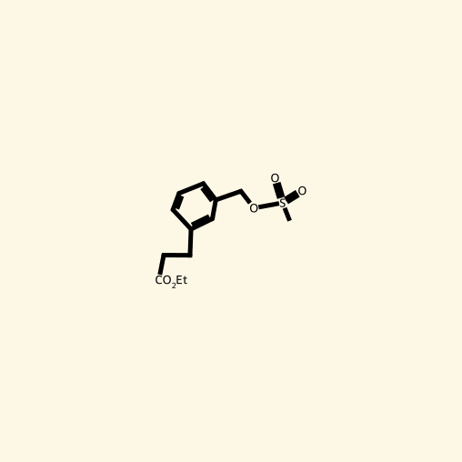 CCOC(=O)CCc1cccc(COS(C)(=O)=O)c1